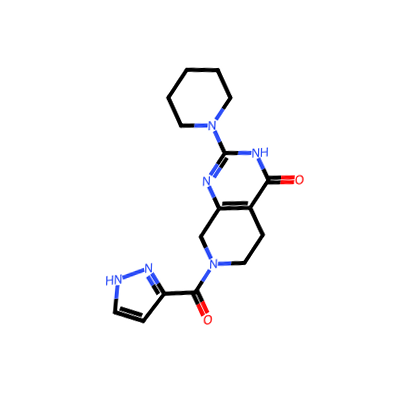 O=C(c1cc[nH]n1)N1CCc2c(nc(N3CCCCC3)[nH]c2=O)C1